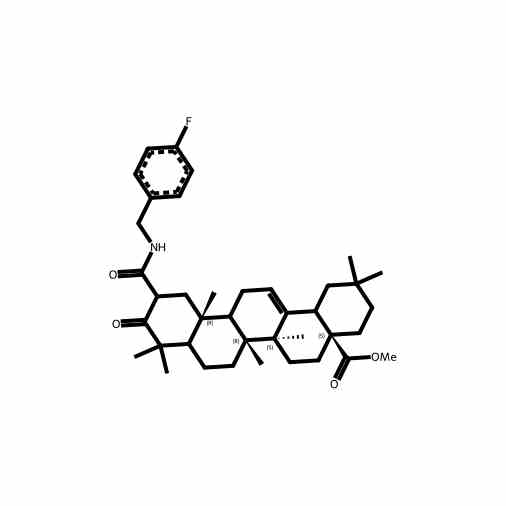 COC(=O)[C@]12CCC(C)(C)CC1C1=CCC3[C@@]4(C)CC(C(=O)NCc5ccc(F)cc5)C(=O)C(C)(C)C4CC[C@@]3(C)[C@]1(C)CC2